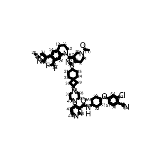 CC(=O)N1CCc2c(c(N3CCCc4cc(-c5cnn(C)c5)c(C(F)F)cc43)nn2C2CCC3(CC2)CC(N2CCN(c4ccnnc4C(=O)NC4CCC(Oc5ccc(C#N)c(Cl)c5)CC4)CC2)C3)C1